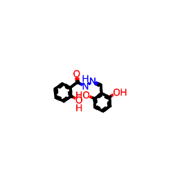 O=C(N/N=C\c1c(O)cccc1O)c1ccccc1O